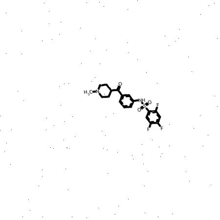 CN1CCC(C(=O)c2cccc(NS(=O)(=O)c3cc(F)c(F)cc3F)c2)CC1